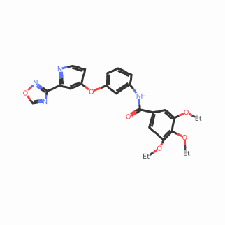 CCOc1cc(C(=O)Nc2cccc(Oc3ccnc(-c4ncon4)c3)c2)cc(OCC)c1OCC